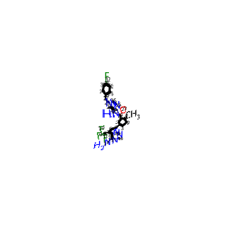 Cc1ccc(-c2cc(C(F)(F)F)c3c(N)ncnn23)cc1C(=O)Nc1cn(Cc2ccc(F)cc2)cn1